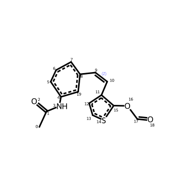 CC(=O)Nc1cccc(/C=C\c2ccsc2OC=O)c1